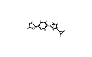 c1cc(-n2ccc(C3CC3)n2)ccc1C1OCCO1